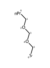 CCCCOCOC[S]